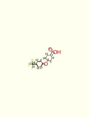 O=C(O)C1CCC(Oc2ccc(C(F)(F)F)cc2)CC1